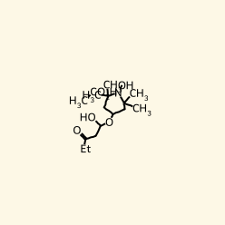 CC(=O)O.CCC(=O)CC(O)OC1CC(C)(C)N(O)C(C)(C)C1